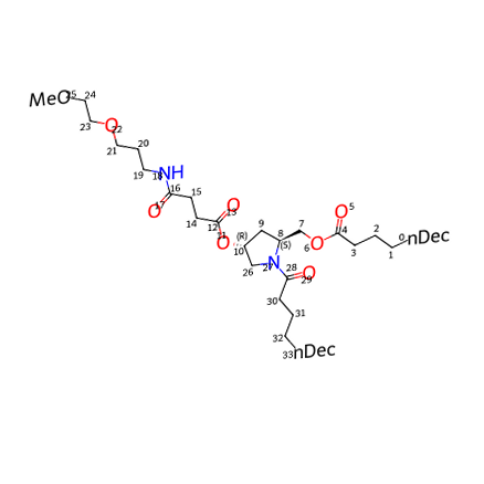 CCCCCCCCCCCCCC(=O)OC[C@@H]1C[C@@H](OC(=O)CCC(=O)NCCCOCCOC)CN1C(=O)CCCCCCCCCCCCC